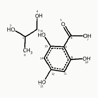 CC(O)CO.O=C(O)c1c(O)cc(O)cc1O